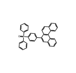 O=P(c1ccccc1)(c1ccccc1)c1ccc(-c2cc3ccccc3c3c2ccc2ccccc23)cc1